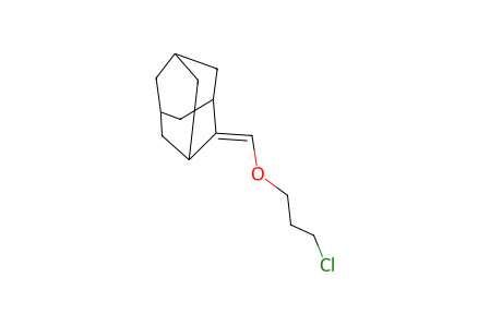 ClCCCOC=C1C2CC3CC(C2)CC1C3